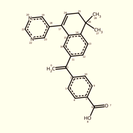 C=C(c1ccc(C(=O)O)cc1)c1ccc2c(c1)C(c1cncnc1)=CCC2(C)C